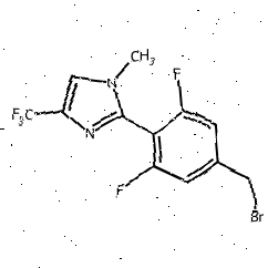 Cn1cc(C(F)(F)F)nc1-c1c(F)cc(CBr)cc1F